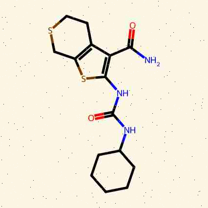 NC(=O)c1c(NC(=O)NC2CCCCC2)sc2c1CCSC2